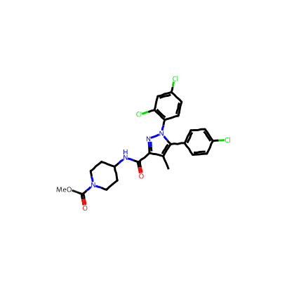 COC(=O)N1CCC(NC(=O)c2nn(-c3ccc(Cl)cc3Cl)c(-c3ccc(Cl)cc3)c2C)CC1